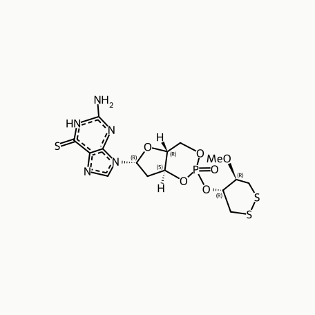 CO[C@H]1CSSC[C@@H]1OP1(=O)OC[C@H]2O[C@@H](n3cnc4c(=S)[nH]c(N)nc43)C[C@@H]2O1